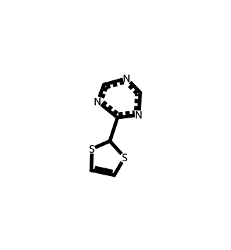 C1=CSC(c2ncncn2)S1